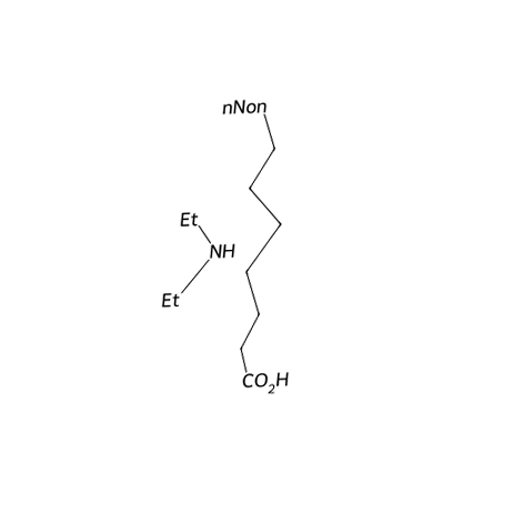 CCCCCCCCCCCCCCCC(=O)O.CCNCC